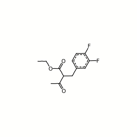 CCOC(=O)C(Cc1ccc(F)c(F)c1)C(C)=O